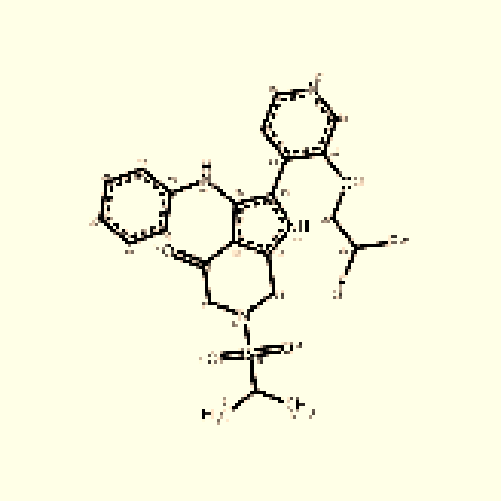 CC(C)S(=O)(=O)N1CC(=O)c2c([nH]c(-c3ccncc3OCC(F)F)c2Nc2ccccc2)C1